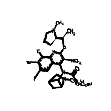 C[C@H](Oc1nc2c(F)c(Br)c(I)cc2c(N(C(=O)OC(C)(C)C)C2C3CC2N(C(=O)O)C3)c1[N+](=O)[O-])[C@@H]1CCCN1C